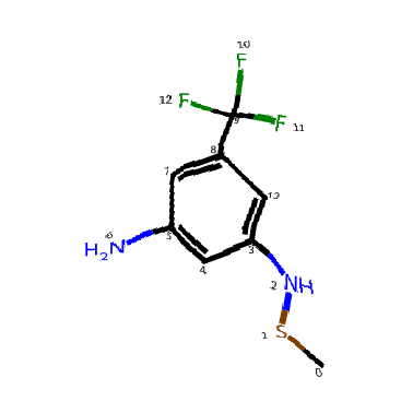 CSNc1cc(N)cc(C(F)(F)F)c1